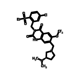 CCS(=O)(=O)c1ccc(Cl)cc1Cn1c(=O)[nH]c2cc(CN3CC[C@@H](N(C)C)C3)c(OC(F)(F)F)cc2c1=O